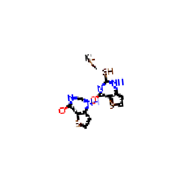 C[S-].O=c1nc(S)[nH]c2ccsc12.O=c1nc[nH]c2ccsc12.[K+]